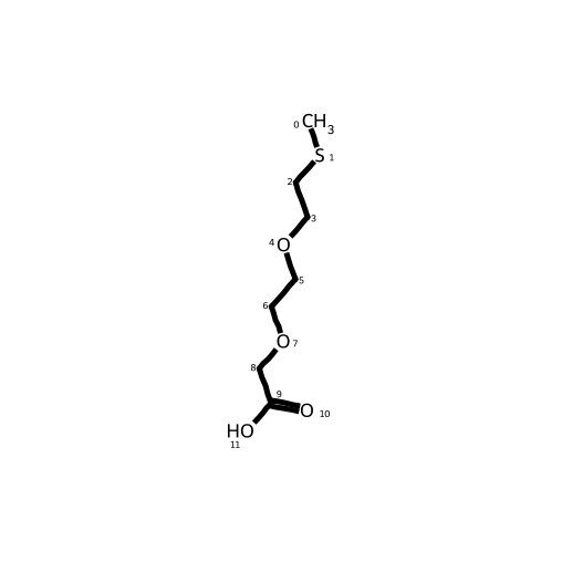 CSCCOCCOCC(=O)O